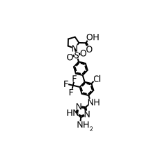 Nc1nc(Nc2cc(Cl)c(-c3ccc(S(=O)(=O)N4CCCC4C(=O)O)cc3)c(C(F)(F)F)c2)n[nH]1